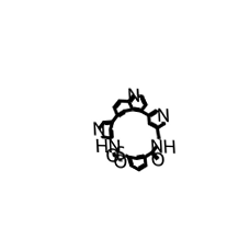 O=C1NCc2cncc(c2)-c2ccnc3ccc(cc23)-c2cncc(c2)NS(=O)(=O)c2cccc1c2